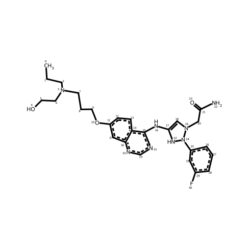 CCCN(CCO)CCCOc1ccc2c(NC3=CN(CC(N)=O)N(c4cccc(F)c4)N3)ncnc2c1